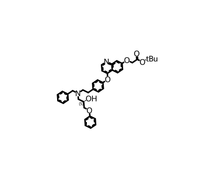 CC(C)(C)OC(=O)COc1ccc2c(Oc3ccc(CCN(Cc4ccccc4)C[C@H](O)COc4ccccc4)cc3)ccnc2c1